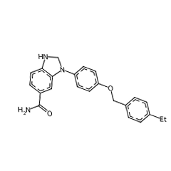 CCc1ccc(COc2ccc(N3CNc4ccc(C(N)=O)cc43)cc2)cc1